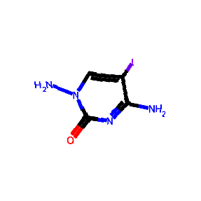 Nc1nc(=O)n(N)cc1I